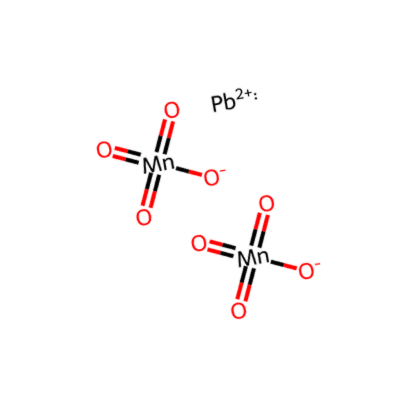 [O]=[Mn](=[O])(=[O])[O-].[O]=[Mn](=[O])(=[O])[O-].[Pb+2]